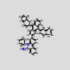 C=NC1c2ccccc2-c2ccc(-c3ccc4c(-c5ccc6ccccc6c5)c5ccccc5c(-c5ccc6ccccc6c5)c4c3)cc2N1c1ccccc1